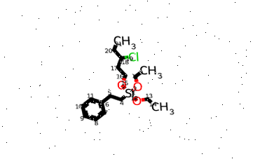 CCO[Si](CCc1ccccc1)(OCC)OCCC(Cl)CC